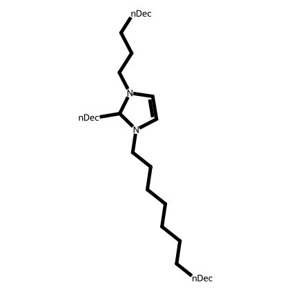 CCCCCCCCCCCCCCCCCN1C=CN(CCCCCCCCCCCCC)C1CCCCCCCCCC